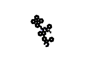 C/C=C\c1c(C)c2ccc(-c3ccc(C(=C/Cc4cccc5c4-c4ccccc4C5(c4ccccc4)c4ccccc4)/N=C(\N)c4ccccc4)c4ccccc34)cc2n1-c1ccccc1